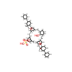 CCCOc1c2cc(-c3ccc(-c4ccccc4)cc3)cc1Cc1cc(S(=O)(=O)O)cc(c1O)Cc1cc(-c3ccc(-c4ccccc4)cc3)cc(c1OCCC)Cc1cccc(c1O)C2